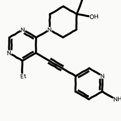 CCc1ncnc(N2CCC(C)(O)CC2)c1C#Cc1ccc(N)nc1